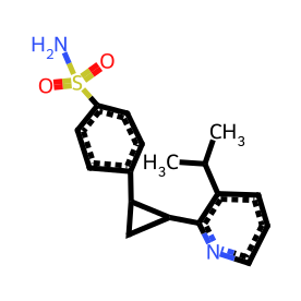 CC(C)c1cccnc1C1CC1c1ccc(S(N)(=O)=O)cc1